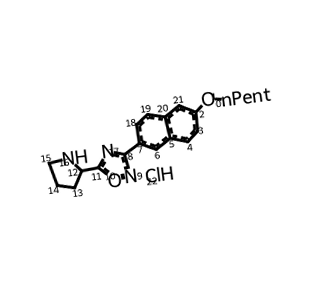 CCCCCOc1ccc2cc(-c3noc(C4CCCN4)n3)ccc2c1.Cl